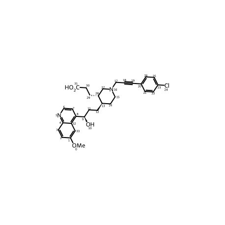 COc1ccc2nccc([C@H](O)CC[C@@H]3CCN(CC#Cc4ccc(Cl)cc4)C[C@H]3CCC(=O)O)c2c1